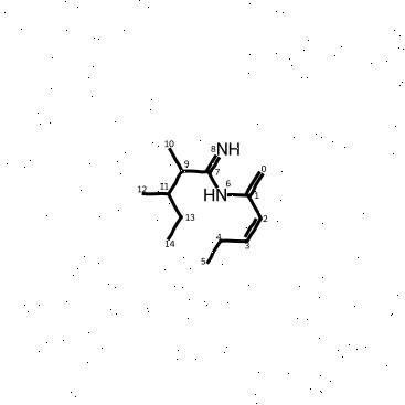 C=C(/C=C\CC)NC(=N)C(C)C(C)CC